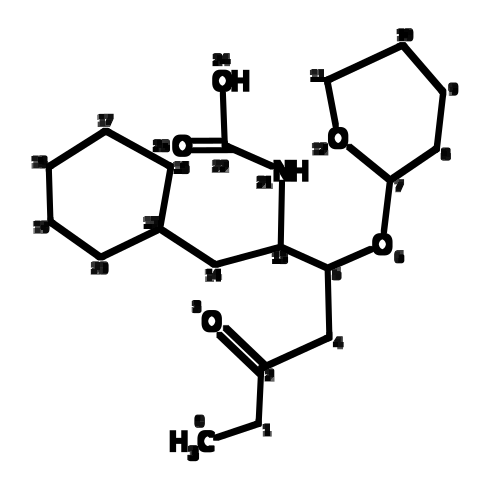 CCC(=O)CC(OC1CCCCO1)C(CC1CCCCC1)NC(=O)O